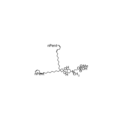 CCCCC/C=C\C/C=C\CCCCCCCCC1(CCCCCCCC/C=C\C/C=C\CCCCC)CC2(C1)O[C@H]1C[C@@H](N(C)CCOP(=O)(O)OC)C[C@H]1O2